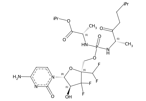 CC(C)CCC(=O)[C@H](C)NP(=O)(N[C@@H](C)C(=O)OC(C)C)OC[C@@]1(C(F)F)O[C@@H](n2ccc(N)nc2=O)[C@H](O)C1(F)F